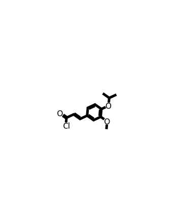 COc1cc(/C=C/C(=O)Cl)ccc1OC(C)C